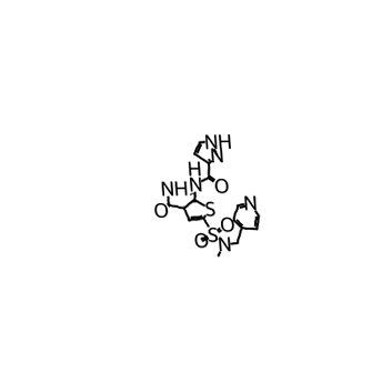 CN(Cc1ccncc1)S(=O)(=O)C1=CC(C(N)=O)C(NC(=O)c2cc[nH]n2)S1